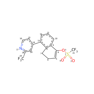 O=S(=O)(OC1=CCCc2c1cccc2-c1ccnc(C(F)(F)F)c1)C(F)(F)F